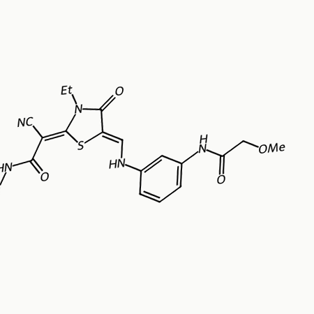 CCNC(=O)C(C#N)=c1sc(=CNc2cccc(NC(=O)COC)c2)c(=O)n1CC